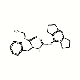 CCOC(=O)C(Cc1cccnc1)NC(=O)Nc1c2c(cc3c1CCC3)CCC2